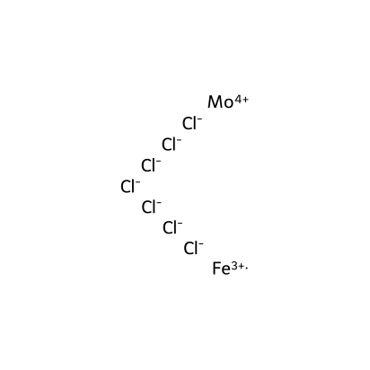 [Cl-].[Cl-].[Cl-].[Cl-].[Cl-].[Cl-].[Cl-].[Fe+3].[Mo+4]